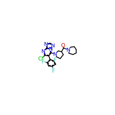 O=C(C1CCCN(c2c(-c3c(F)cc(F)cc3F)c(Cl)nc3ncnn23)C1)N1CCCCCC1